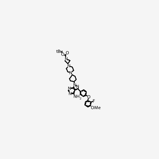 COc1cccc(Oc2ccc(-c3nn(C4CCC(N5CCN(C6CN(C(=O)OC(C)(C)C)C6)CC5)CC4)c4ncnc(N)c34)cc2)c1F